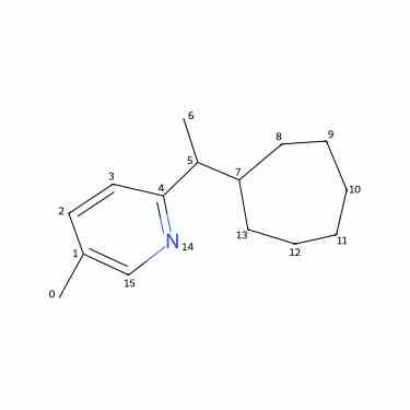 Cc1ccc(C(C)C2CCCCCC2)nc1